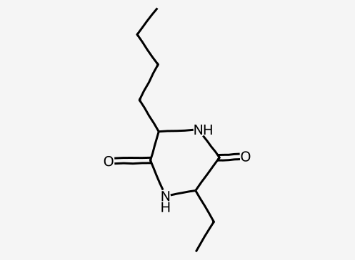 CCCCC1NC(=O)C(CC)NC1=O